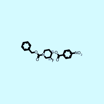 O=C(O[C@H]1CCN(C(=O)OCc2ccccc2)C[C@@H]1F)c1ccc([N+](=O)[O-])cc1